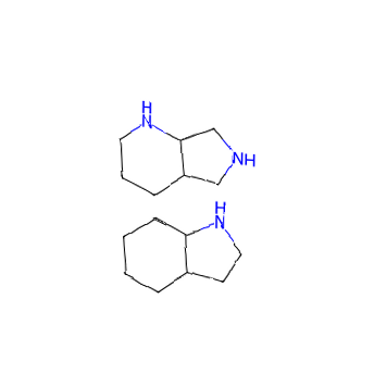 C1CCC2NCCC2C1.C1CNC2CNCC2C1